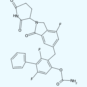 NC(=O)Oc1cc(F)c(-c2ccccc2)c(F)c1Cc1cc(F)c2c(c1)C(=O)N(C1CCC(=O)NC1=O)C2